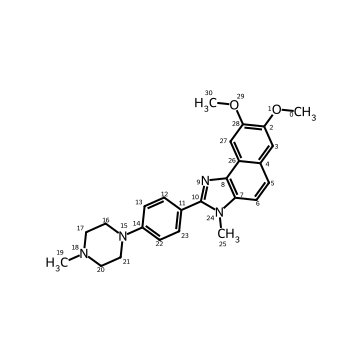 COc1cc2ccc3c(nc(-c4ccc(N5CCN(C)CC5)cc4)n3C)c2cc1OC